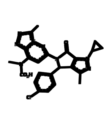 Cc1nn(C2CC2)c2c1C(c1ccc(Cl)cc1)N(c1cc(N(C)C(=O)O)c3nnc(C)n3n1)C2=O